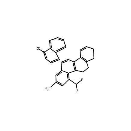 Cc1cc(C(F)F)c2c3c(ccc2c1)C1=C(CCC=C1)CC3.[O-][n+]1cccc2ccccc21